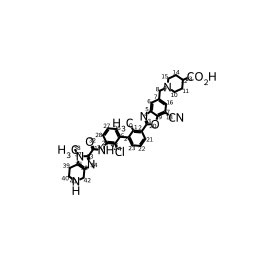 Cc1c(-c2nc3cc(CN4CCC(C(=O)O)CC4)cc(C#N)c3o2)cccc1-c1cccc(NC(=O)c2nc3c(n2C)CCNC3)c1Cl